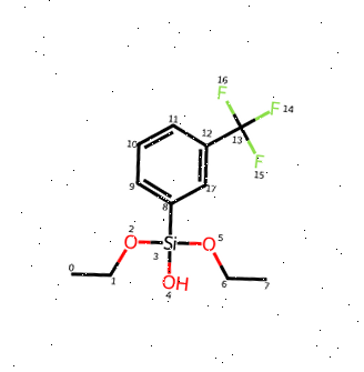 CCO[Si](O)(OCC)c1cccc(C(F)(F)F)c1